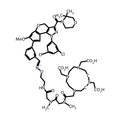 COc1cc2c(cc1-c1cccc(/C=N/OCCNC(=O)CN(C)C(=O)CN(C)C(=O)CN3CCN(CC(=O)O)CCN(CC(=O)O)CCN(CC(=O)O)CC3)c1)-c1c(c(C(=O)N3CCOCC3(C)C)nn1-c1cc(Cl)cc(Cl)c1)CO2